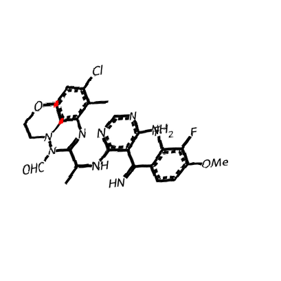 COc1ccc(C(=N)c2c(N)ncnc2NC(C)/C(=N/c2cccc(Cl)c2C)N(C=O)N2CCOCC2)c(F)c1F